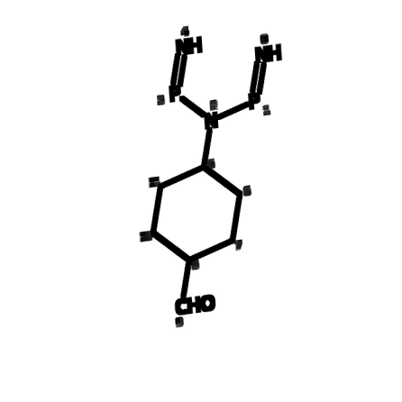 N=PN(P=N)C1CCC(C=O)CC1